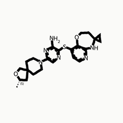 C[C@H]1CC2(CCN(c3cnc(Sc4ccnc5c4OCCC4(CC4)N5)c(N)n3)CC2)CO1